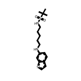 CC(C)(C)S(=O)(=O)NCCCCCNc1ccc2ccsc2c1